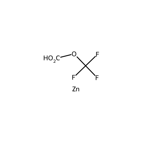 O=C(O)OC(F)(F)F.[Zn]